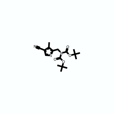 Cc1c(C#N)csc1CN(C(=O)OC(C)(C)C)C(=O)OC(C)(C)C